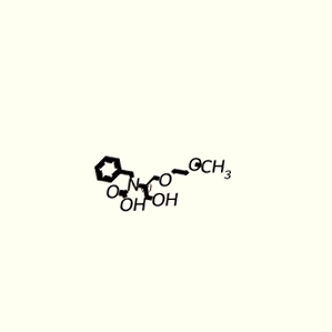 COCCOC[C@@H](CO)N(Cc1ccccc1)C(=O)O